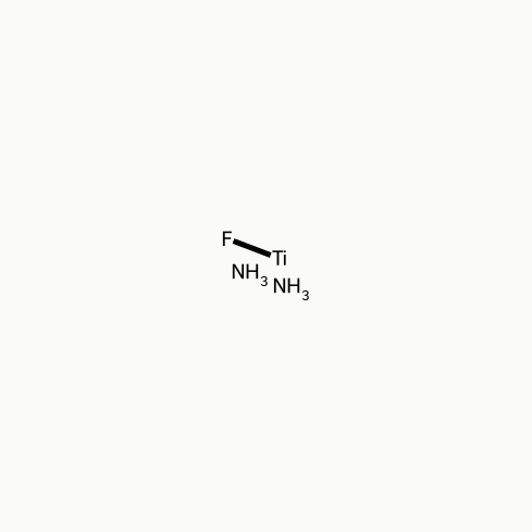 N.N.[F][Ti]